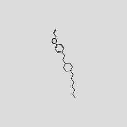 C=CCOc1ccc(CCC2CCC(CCCCCCC)CC2)cc1